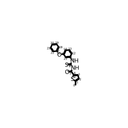 Cc1ccc(C(=O)NC(=S)Nc2cccc(Oc3ccccc3)c2)s1